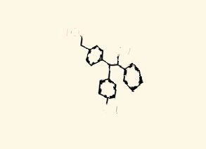 Cc1ccc(C(c2ccc(CCO)cc2)C(C)c2ccccc2)cc1